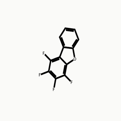 Fc1c(F)c(F)c2c(oc3ccccc32)c1F